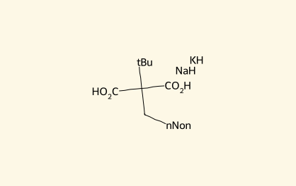 CCCCCCCCCCC(C(=O)O)(C(=O)O)C(C)(C)C.[KH].[NaH]